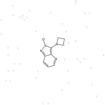 [O-][s+]1nc2cccnc2c1N1CCC1